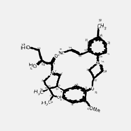 COc1ccc([C@@H]2CN(C(=O)C(O)CO)C[C@@]2(C)C(C)O)cc1OC1CN(c2ccc(C)cc2C=CC#N)C1